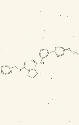 COc1ccc(-c2cccc(NC(=O)[C@@H]3CCCN3C(=O)OCc3ccccc3)c2)cc1